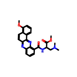 COC(=O)C(CN(C)C)NC(=O)c1cccc2nc3ccc4c(OC)cccc4c3nc12